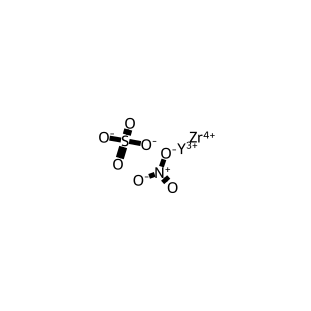 O=S(=O)([O-])[O-].O=[N+]([O-])[O-].[Y+3].[Zr+4]